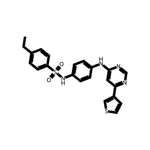 CCc1ccc(S(=O)(=O)Nc2ccc(Nc3cc(-c4ccsc4)ncn3)cc2)cc1